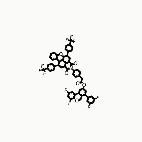 O=Cc1c(-c2cc(F)cc(F)c2)cc(OC(=O)Cc2ccc(-n3c(=O)c4cc(-c5ccc(C(F)(F)F)cc5)c5oc6ccccc6c6c(-c7ccc(C(F)(F)F)cc7)cc(c3=O)c4c56)cc2)cc1-c1cc(F)cc(F)c1